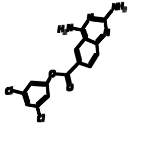 Nc1nc(N)c2cc(C(=O)Oc3cc(Cl)cc(Cl)c3)ccc2n1